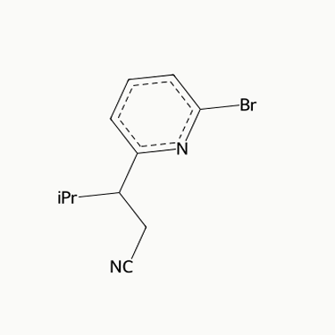 CC(C)C(CC#N)c1cccc(Br)n1